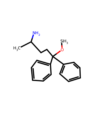 CC(N)CCC(O[SiH3])(c1ccccc1)c1ccccc1